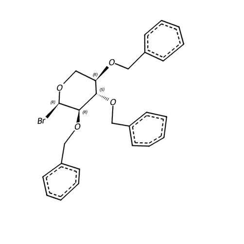 Br[C@H]1OC[C@@H](OCc2ccccc2)[C@H](OCc2ccccc2)[C@H]1OCc1ccccc1